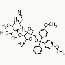 BC1O[C@@]2(COC(c3ccccc3)(c3ccc(OC)cc3)c3ccc(OC)cc3)CO[C@H]2[C@H]1OP(OCCC#N)N(C(C)C)C(C)C